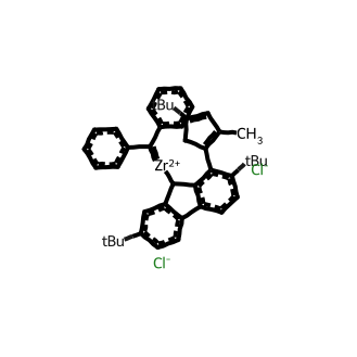 CC1=C(c2c(C(C)(C)C)ccc3c2[CH]([Zr+2]=[C](c2ccccc2)c2ccccc2)c2cc(C(C)(C)C)ccc2-3)CC(C(C)(C)C)=C1.[Cl-].[Cl-]